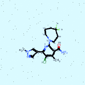 Cc1c(Cl)c(-c2cnn(C)c2)nc(N2CCCC(F)(F)CC2)c1C(N)=O